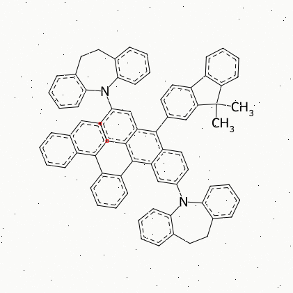 CC1(C)c2ccccc2-c2ccc(-c3c4cc(N5c6ccccc6CCc6ccccc65)ccc4c(-c4ccccc4-c4cccc5ccccc45)c4cc(N5c6ccccc6CCc6ccccc65)ccc34)cc21